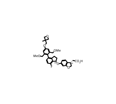 COCc1cc(OCC2(C)COC2)cc(COC)c1-c1ccc(F)c2c1CC[C@H]2Oc1ccc2c(c1)OC[C@H]2CC(=O)O